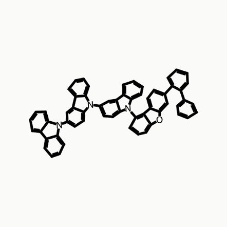 c1ccc(-c2ccccc2-c2ccc3c(c2)oc2cccc(-n4c5ccccc5c5cc(-n6c7ccccc7c7cc(-n8c9ccccc9c9ccccc98)ccc76)ccc54)c23)cc1